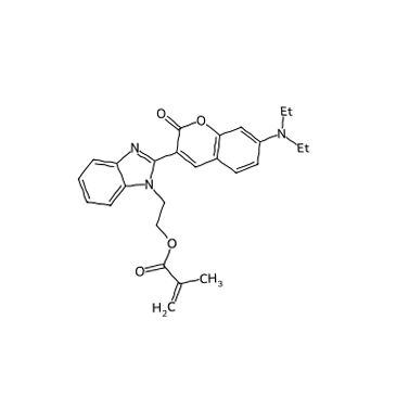 C=C(C)C(=O)OCCn1c(-c2cc3ccc(N(CC)CC)cc3oc2=O)nc2ccccc21